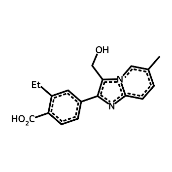 CCc1cc(-c2nc3ccc(C)cn3c2CO)ccc1C(=O)O